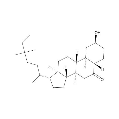 CCC(C)(C)CCC(C)[C@H]1CC[C@H]2[C@@H]3CC(=O)[C@H]4CC[C@H](O)C[C@]4(C)[C@H]3CC[C@]12C